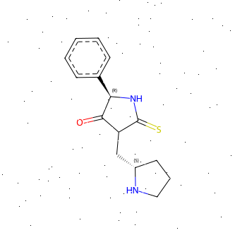 O=C1C(C[C@@H]2CCCN2)C(=S)N[C@@H]1c1ccccc1